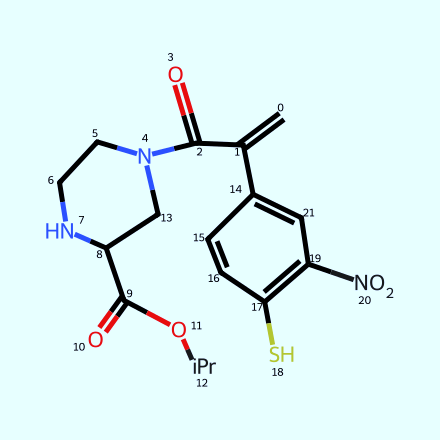 C=C(C(=O)N1CCNC(C(=O)OC(C)C)C1)c1ccc(S)c([N+](=O)[O-])c1